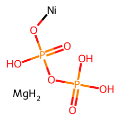 O=P(O)(O)OP(=O)(O)[O][Ni].[MgH2]